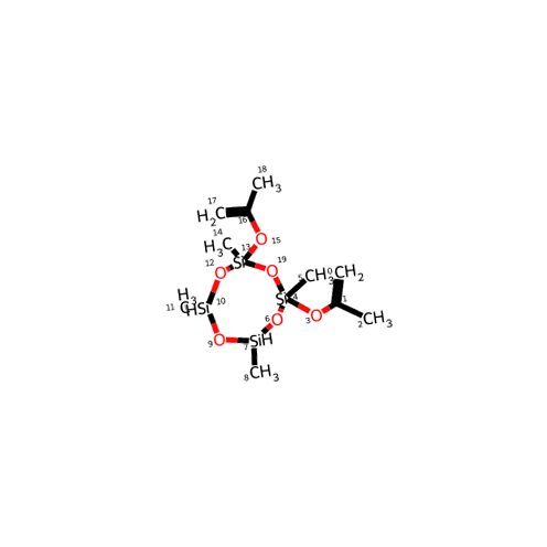 C=C(C)O[Si]1(C)O[SiH](C)O[SiH](C)O[Si](C)(OC(=C)C)O1